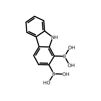 OB(O)c1ccc2c([nH]c3ccccc32)c1B(O)O